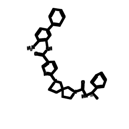 C[C@@H](NC(=O)N1CCC2(CCN(c3ccc(C(=O)Nc4cc(-c5ccccc5)ccc4N)cn3)C2)C1)c1ccccc1